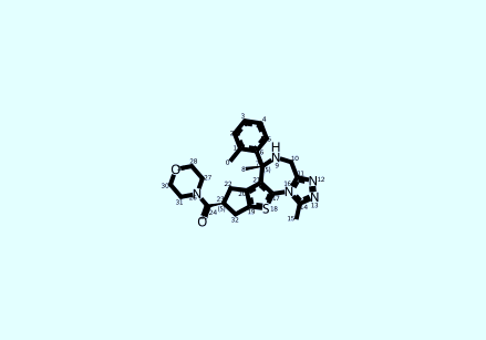 Cc1ccccc1[C@]1(C)NCc2nnc(C)n2-c2sc3c(c21)C[C@H](C(=O)N1CCOCC1)C3